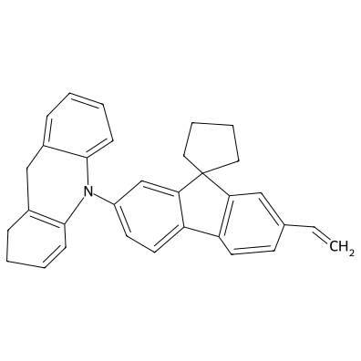 C=Cc1ccc2c(c1)C1(CCCC1)c1cc(N3C4=C(CCC=C4)Cc4ccccc43)ccc1-2